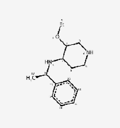 CCOC1CNCCC1N[C@H](C)c1ccccc1